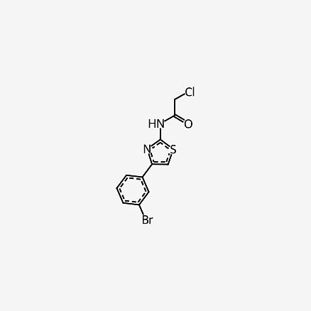 O=C(CCl)Nc1nc(-c2cccc(Br)c2)cs1